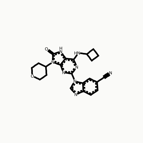 N#Cc1ccc2ncn(-c3nc(NC4CCC4)c4[nH]c(=O)n(C5CCOCC5)c4n3)c2c1